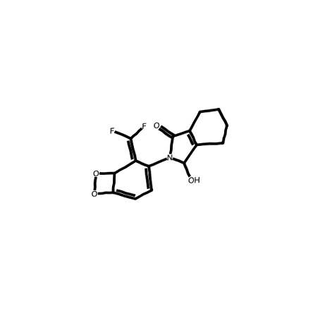 O=C1C2=C(CCCC2)C(O)N1C1=CC=C2OOC2C1=C(F)F